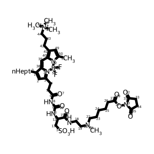 CCCCCCCC1=CC(CCC(=O)NC(=O)NC(CS(=O)(=O)O)C(=O)NCCN(C)CCCCCC(=O)ON2C(=O)CCC2=O)=[N+]2C1=Cc1c(CCC[N+](C)(C)C)cc(C)n1[B-]2(F)F